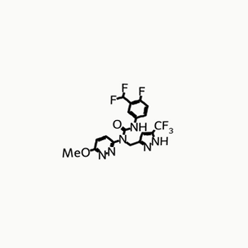 COc1ccc(N(Cc2cc(C(F)(F)F)[nH]n2)C(=O)Nc2ccc(F)c(C(F)F)c2)nn1